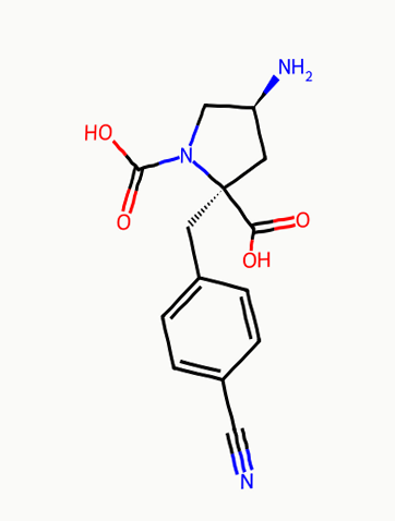 N#Cc1ccc(C[C@@]2(C(=O)O)C[C@H](N)CN2C(=O)O)cc1